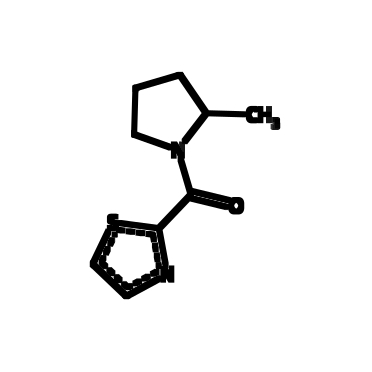 CC1CCCN1C(=O)c1nccs1